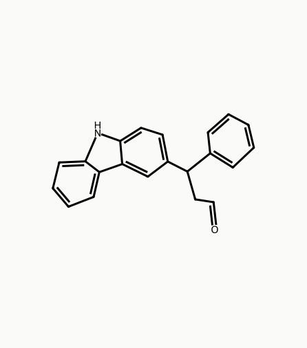 O=CCC(c1ccccc1)c1ccc2[nH]c3ccccc3c2c1